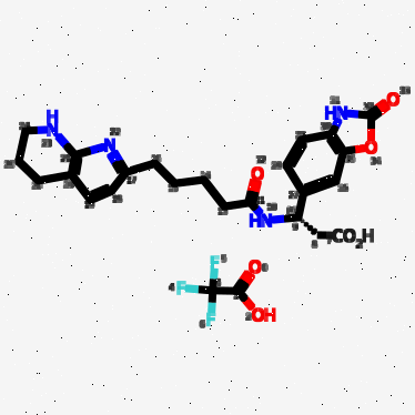 O=C(O)C(F)(F)F.O=C(O)C[C@H](NC(=O)CCCCc1ccc2c(n1)NCCC2)c1ccc2[nH]c(=O)oc2c1